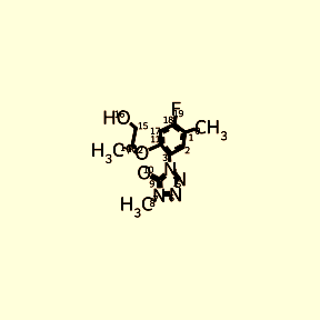 Cc1cc(-n2nnn(C)c2=O)c(O[C@H](C)CO)cc1F